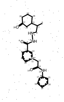 CC(CNNC(=O)c1ccc[n+](CC(=O)Nc2ccccc2)c1)C1CCCC(=O)C1